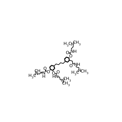 CN(C)CCNC(=O)Cc1cc(CCCCc2ccc(OC(=O)NCCN(C)C)c(OC(=O)NCCN(C)C)c2)ccc1OC(=O)NCCN(C)C